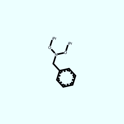 CC(C)ON(Cc1ccccc1)OC(C)C